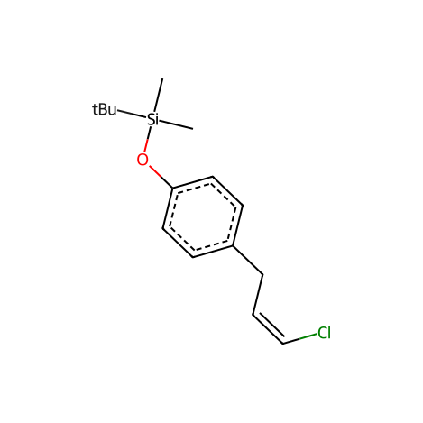 CC(C)(C)[Si](C)(C)Oc1ccc(C/C=C\Cl)cc1